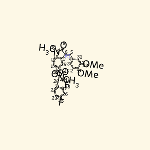 COc1ccc(/C=C2/C(=O)N(C)c3ccc(S(=O)(=O)N(C)Cc4ccc(F)cc4F)cc32)cc1OC